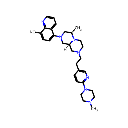 C[C@@H]1CN(c2ccc(C#N)c3ncccc23)C[C@@H]2CN(CCc3ccc(N4CCN(C)CC4)nc3)CCN21